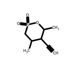 C#CC1C(C)CS(=O)(=O)OC1C